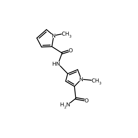 Cn1cc(NC(=O)c2cccn2C)cc1C(N)=O